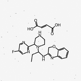 CCC(NC1=Nc2ccccc2OC1)N1CCNCC1c1ncc(F)cn1.O=C(O)C=CC(=O)O